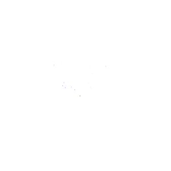 CCC(=O)c1cc(F)cn2nc(CC)cc12